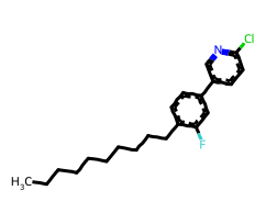 CCCCCCCCCCc1ccc(-c2ccc(Cl)nc2)cc1F